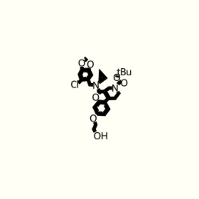 CC(C)(C)OC(=O)N1CCC(c2ccc(OCCO)cc2)=C(C(=O)N(Cc2cc3c(cc2Cl)OCO3)C2CC2)C1